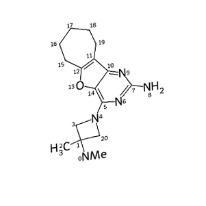 CNC1(C)CN(c2nc(N)nc3c4c(oc23)CCCCC4)C1